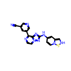 N#Cc1cncc(-c2nccn3nc(NC4=CC5=CNSN5C=C4)nc23)c1